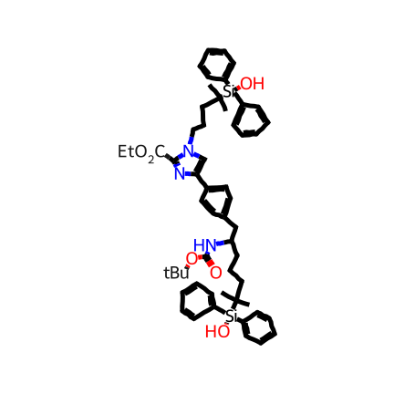 CCOC(=O)c1nc(-c2ccc(CC(CCCC(C)(C)[Si](O)(c3ccccc3)c3ccccc3)NC(=O)OC(C)(C)C)cc2)cn1CCCC(C)(C)[Si](O)(c1ccccc1)c1ccccc1